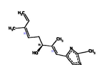 C=C/C(C)=C\C[C@H](O)/C(C)=C/c1csc(C)n1